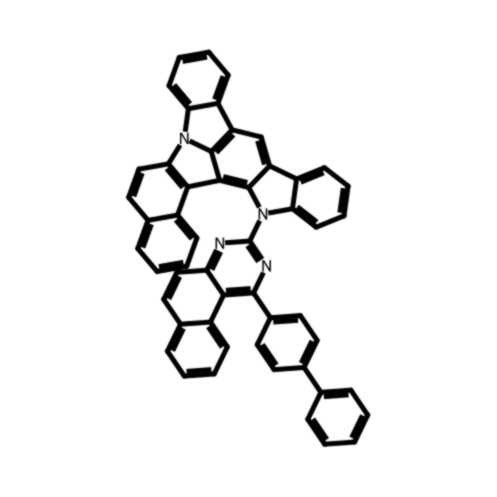 c1ccc(-c2ccc(-c3nc(-n4c5ccccc5c5cc6c7ccccc7n7c8ccc9ccccc9c8c(c54)c67)nc4ccc5ccccc5c34)cc2)cc1